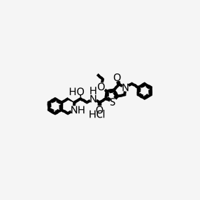 CCOc1c(C(=O)NC[C@@H](O)[C@@H]2Cc3ccccc3CN2)sc2c1C(=O)N(Cc1ccccc1)C2.Cl